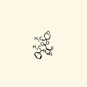 C=CC1(OC(=O)c2c(F)ncn2[C@H](C)c2ccccc2)CCOCC1